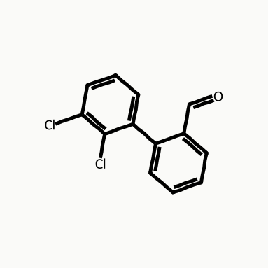 O=Cc1ccccc1-c1cccc(Cl)c1Cl